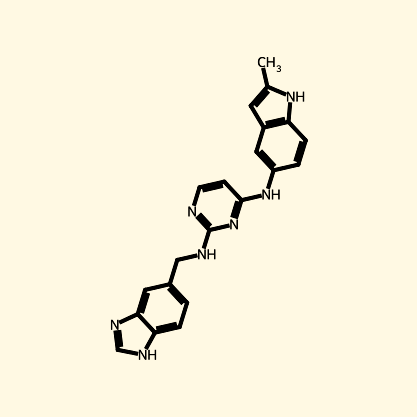 Cc1cc2cc(Nc3ccnc(NCc4ccc5[nH]cnc5c4)n3)ccc2[nH]1